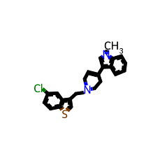 Cn1cc(C2=CCN(CCc3csc4ccc(Cl)cc34)CC2)c2ccccc21